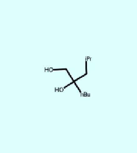 CCCCC(O)(CO)CC(C)C